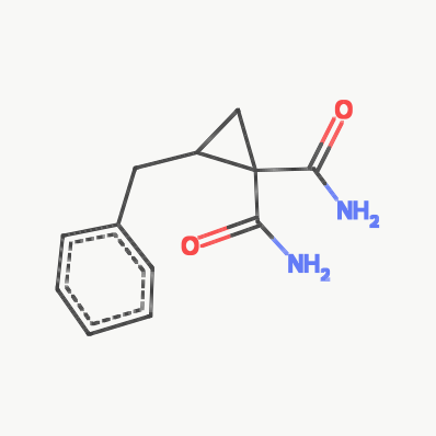 NC(=O)C1(C(N)=O)CC1Cc1ccccc1